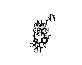 CC(C)NCCOc1ncc(-c2cc3c4c(cnc3cc2F)N(C)C(=O)C42CC(CN(C)C)C2)cc1CS(N)(=O)=O